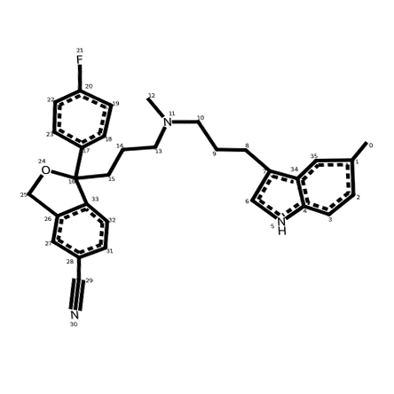 Cc1ccc2[nH]cc(CCCN(C)CCCC3(c4ccc(F)cc4)OCc4cc(C#N)ccc43)c2c1